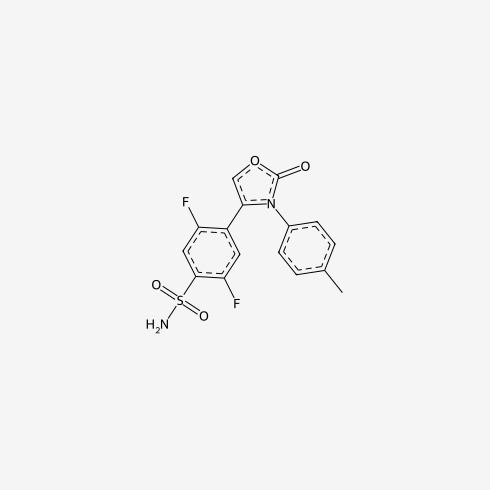 Cc1ccc(-n2c(-c3cc(F)c(S(N)(=O)=O)cc3F)coc2=O)cc1